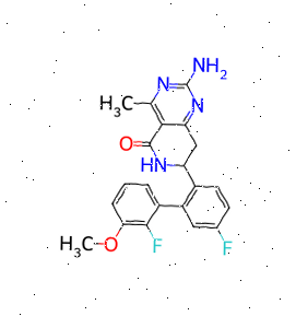 COc1cccc(-c2cc(F)ccc2C2Cc3nc(N)nc(C)c3C(=O)N2)c1F